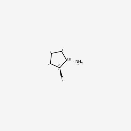 N[C@H]1CCC[C@@H]1F